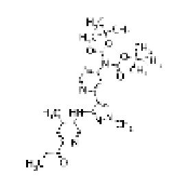 CCC(=O)c1cc(C)c(Nc2nn(C)cc2-c2cc(N(C(=O)OC(C)(C)C)C(=O)OC(C)(C)C)ncn2)cn1